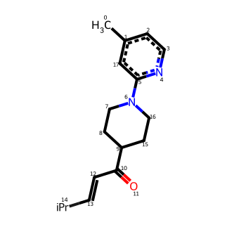 Cc1ccnc(N2CCC(C(=O)/C=C/C(C)C)CC2)c1